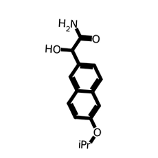 CC(C)Oc1ccc2cc(C(O)C(N)=O)ccc2c1